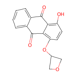 O=C1c2ccccc2C(=O)c2c(OC3COC3)ccc(O)c21